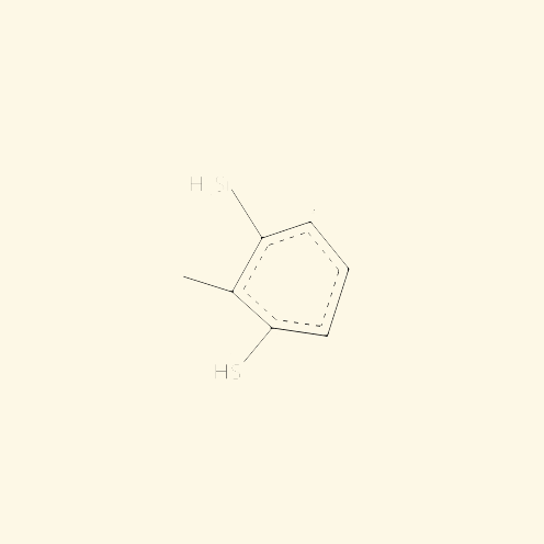 Cc1c([SiH3])cccc1S